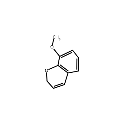 COc1cccc2c1OCC=C2